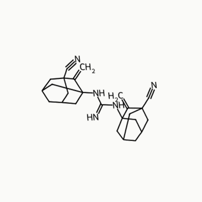 C=C1C2(C#N)CC3CC(C2)CC1(NC(=N)NC12CC4CC(CC(C#N)(C4)C1=C)C2)C3